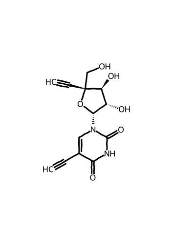 C#Cc1cn([C@@H]2O[C@](C#C)(CO)[C@@H](O)[C@@H]2O)c(=O)[nH]c1=O